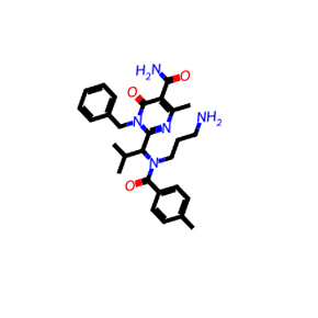 Cc1ccc(C(=O)N(CCCN)C(c2nc(C)c(C(N)=O)c(=O)n2Cc2ccccc2)C(C)C)cc1